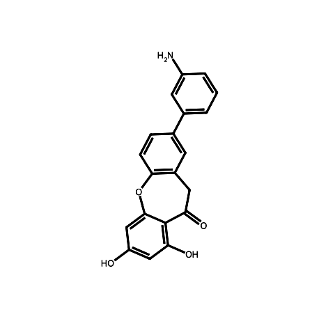 Nc1cccc(-c2ccc3c(c2)CC(=O)c2c(O)cc(O)cc2O3)c1